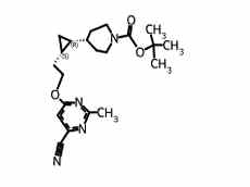 Cc1nc(C#N)cc(OCC[C@@H]2C[C@@H]2C2CCN(C(=O)OC(C)(C)C)CC2)n1